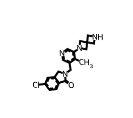 Cc1c(CN2Cc3cc(Cl)ccc3C2=O)cncc1N1CC2(CNC2)C1